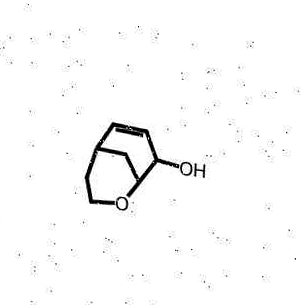 OC1C=CC2CCOC1C2